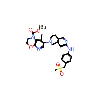 Cc1c(N2CCc3cnc(Nc4ccc(CS(C)(=O)=O)cc4)cc3C2)cnc2c1N(C(=O)OC(C)(C)C)CCO2